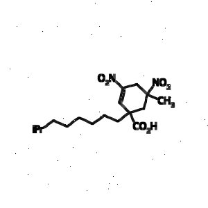 CC(C)CCCCCCC1(C(=O)O)C=C([N+](=O)[O-])CC(C)([N+](=O)[O-])C1